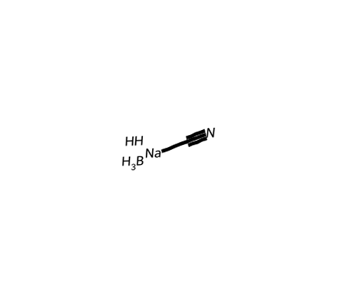 B.N#[C][Na].[HH]